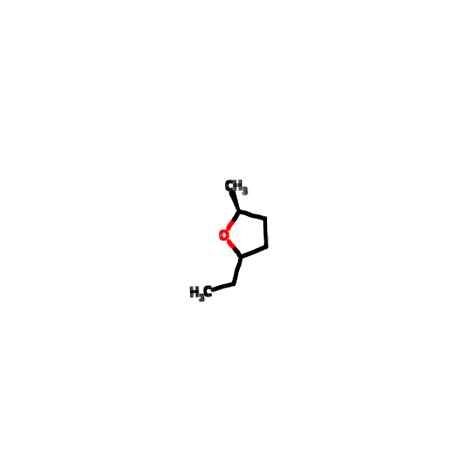 CCC1CC[C@H](C)O1